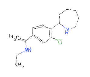 C=C(NCC)c1ccc(C2CCCCCN2)c(Cl)c1